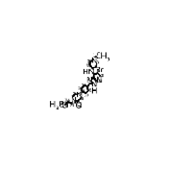 CCN1CCC(Nc2c(Br)cnc3[nH]c(-c4ccc(N5CCN(CCOC)C(=O)C5)cc4)nc23)CC1